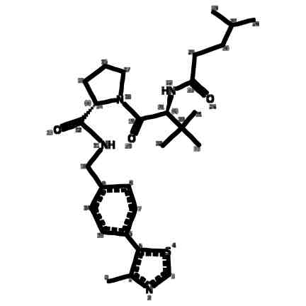 Cc1ncsc1-c1ccc(CNC(=O)[C@@H]2CCCN2C(=O)[C@@H](NC(=O)CCC(C)C)C(C)(C)C)cc1